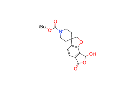 CC(C)(C)OC(=O)N1CCC2(CC1)COc1c2ccc2c1C(O)OC2=O